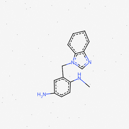 CNc1ccc(N)cc1Cn1cnc2ccccc21